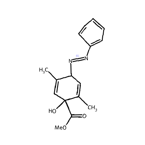 COC(=O)C1(O)C=C(C)C(/N=N/c2ccccc2)C=C1C